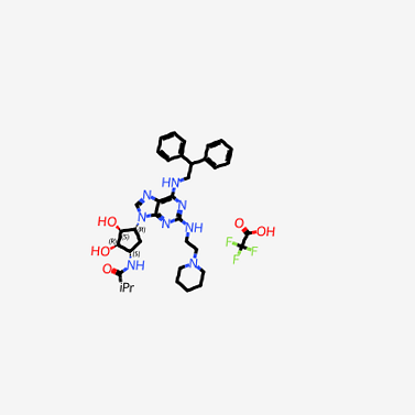 CC(C)C(=O)N[C@H]1C[C@@H](n2cnc3c(NCC(c4ccccc4)c4ccccc4)nc(NCCN4CCCCC4)nc32)[C@H](O)[C@@H]1O.O=C(O)C(F)(F)F